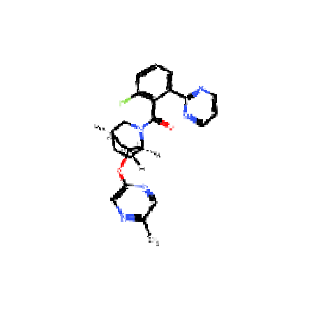 O=C(c1c(F)cccc1-c1ncccn1)N1C[C@@H]2CC[C@H]1[C@H](Oc1cnc(C(F)(F)F)cn1)C2